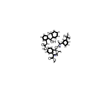 CO/N=C(/C(=O)OC)c1ccccc1CO/N=C(\C)c1cccc(C(F)(F)F)c1.COC(=O)Cc1ccccc1C(O)c1ccccc1C